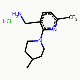 CC1CCN(c2nc(C(F)(F)F)ccc2CN)CC1.Cl